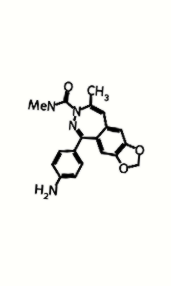 CNC(=O)N1N=C(c2ccc(N)cc2)c2cc3c(cc2C=C1C)OCO3